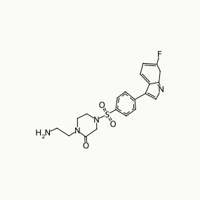 NCCN1CCN(S(=O)(=O)c2ccc(C3=CN=C4CC(F)=CC=C34)cc2)CC1=O